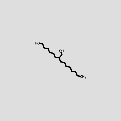 CCCCCCCCC(CO)CCCCCCO